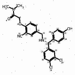 CN(C)C(=O)COc1ccc(CN[C@@H](c2ccc(Cl)c(Cl)c2)c2ccc(Cl)cn2)cc1C#N